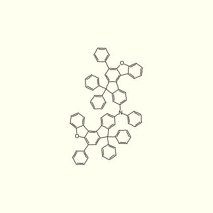 c1ccc(-c2cc3c(c4c2oc2ccccc24)-c2ccc(N(c4ccccc4)c4ccc5c(c4)C(c4ccccc4)(c4ccccc4)c4cc(-c6ccccc6)c6oc7ccccc7c6c4-5)cc2C3(c2ccccc2)c2ccccc2)cc1